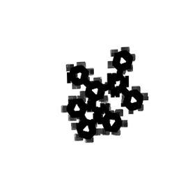 c1ccc(-c2nc(-c3ccccc3)nc(-c3cc(-c4cccnc4)cc(N4c5ccccc5-c5ccccc5-n5c4nc4ccccc45)c3)n2)cc1